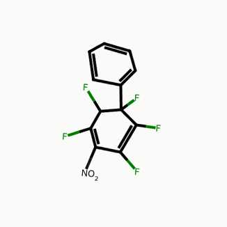 O=[N+]([O-])C1=C(F)C(F)C(F)(c2ccccc2)C(F)=C1F